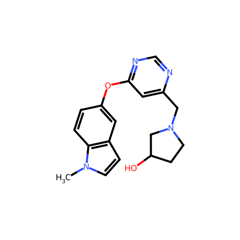 Cn1ccc2cc(Oc3cc(CN4CCC(O)C4)ncn3)ccc21